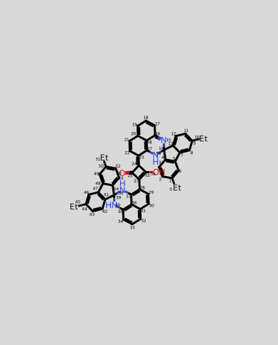 CCc1ccc2c(c1)-c1cc(CC)ccc1C21N=c2cccc3cc/c(=C4\C(=O)C(c5ccc6cccc7c6c5NC5(N7)c6ccc(CC)cc6-c6cc(CC)ccc65)=C4O)c(c23)N1